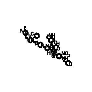 Cc1ccccc1[C@@H]1CN(Cc2ccc(F)c(F)c2)CCN1C1CC2(CCN(c3ccc(C(=O)NS(=O)(=O)c4ccc(NCC5CCOCC5)c([N+](=O)[O-])c4)c(N4c5cc6cc[nH]c6nc5O[C@H]5COCC[C@@H]54)n3)CC2)C1